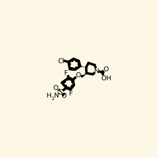 NS(=O)(=O)c1cc(F)c(OC[C@@H]2CN(C(=O)O)CC[C@H]2c2ccc(Cl)cc2)cc1F